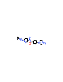 O=C(Nc1ccc(NCC2CC2)nc1)c1ccc(N2CCNCC2)cc1